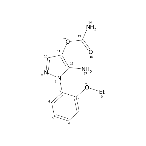 CCOc1ccccc1-n1ncc(OC(N)=O)c1N